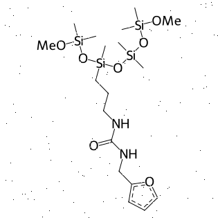 CO[Si](C)(C)O[Si](C)(C)O[Si](C)(CCCNC(=O)NCc1ccco1)O[Si](C)(C)OC